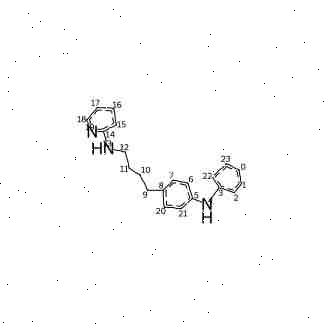 c1ccc(Nc2ccc(CCCCNc3ccccn3)cc2)cc1